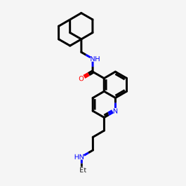 CCNCCCc1ccc2c(C(=O)NCC34CCCC(CCC3)C4)cccc2n1